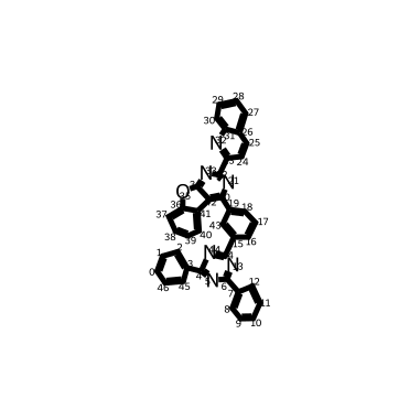 c1ccc(-c2nc(-c3ccccc3)nc(-c3cccc(-c4nc(-c5ccc6ccccc6n5)nc5oc6ccccc6c45)c3)n2)cc1